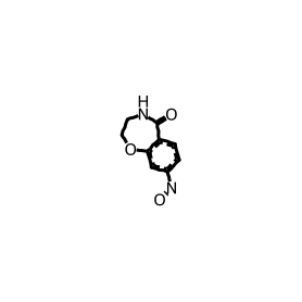 O=Nc1ccc2c(c1)OCCNC2=O